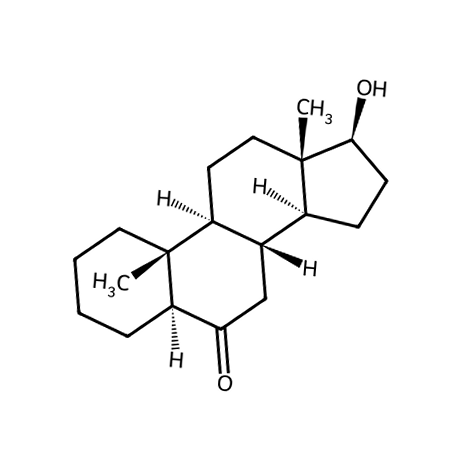 C[C@]12CCCC[C@@H]1C(=O)C[C@@H]1[C@@H]2CC[C@]2(C)[C@@H](O)CC[C@@H]12